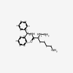 NCCCCC(NN)C(=O)NC(c1ccccc1)c1ccccc1